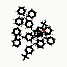 CC(C)(C)c1ccc(N2c3cc(-n4c5ccccc5c5ccccc54)cc4c3B(c3ccc(C(C)(C)C)cc3N4c3ccc([Si](c4ccccc4)(c4ccccc4)c4ccccc4)cc3)c3c2cccc3[Si](c2ccccc2)(c2ccccc2)c2ccccc2)cc1